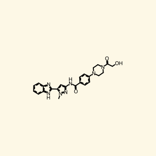 Cn1nc(NC(=O)c2ccc(N3CCN(C(=O)CO)CC3)cc2)cc1-c1nc2ccccc2[nH]1